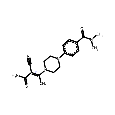 C/C(=C(/C#N)C(N)=S)N1CCN(c2ccc(C(=O)N(C)C)cc2)CC1